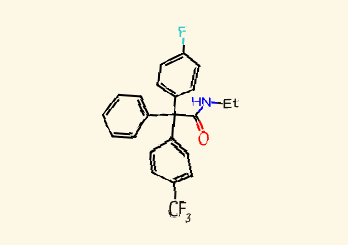 CCNC(=O)C(c1ccccc1)(c1ccc(F)cc1)c1ccc(C(F)(F)F)cc1